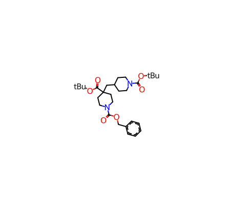 CC(C)(C)OC(=O)N1CCC(CC2(C(=O)OC(C)(C)C)CCN(C(=O)OCc3ccccc3)CC2)CC1